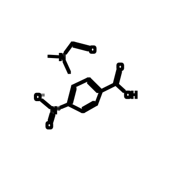 CN(C)C=O.O=C(O)c1ccc([N+](=O)[O-])cc1